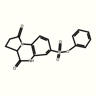 O=C1Nc2cc(S(=O)(=O)Oc3ccccc3)ccc2N2C(=O)CCC12